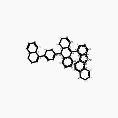 C1=CC2CCC=C(C3=CC=C(C4c5ccccc5C(c5cccc6oc7c8c(ccc7c56)CCC=C8)=C5C=CCCC54)CC3)C2C=C1